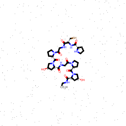 O=C(O)CNC(=O)[C@@H]1C[C@@H](O)CN1C(=O)[C@@H]1CCCN1C(=O)CNC(=O)[C@@H]1C[C@@H](O)CN1C(=O)[C@@H]1CCCN1C(=O)CNC(=O)[C@H](CS)NC(=O)[C@@H]1CCCN1